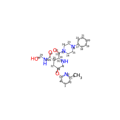 Cc1cccc(O[C@@H]2CN[C@H](C(=O)N3CCN(c4ccccc4)CC3)[C@@H](C(=O)NCO)C2)n1